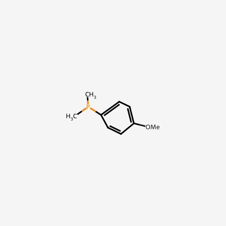 COc1ccc(P(C)C)cc1